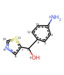 Nc1ccc(C(O)c2cncs2)cc1